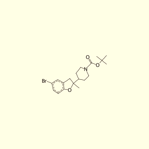 CC(C)(C)OC(=O)N1CCC(C2(C)Cc3cc(Br)ccc3O2)CC1